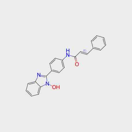 O=C(/C=C/c1ccccc1)Nc1ccc(-c2nc3ccccc3n2O)cc1